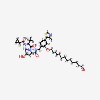 Cc1ncsc1-c1ccc(CNC(=O)[C@@H]2C[C@@H](O)CN2C(=O)[C@@H](NC(=O)C2(F)CC2)C(C)(C)C)c(OCCCCCCCCCCCCCBr)c1